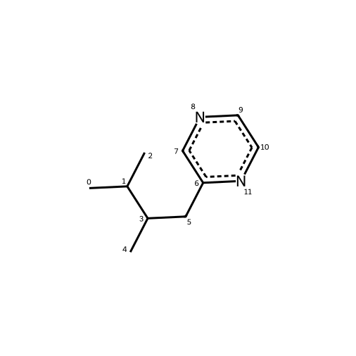 CC(C)C(C)Cc1cnccn1